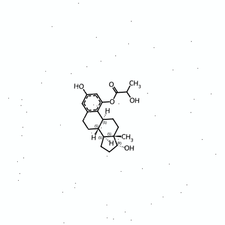 CC(O)C(=O)Oc1cc(O)cc2c1[C@H]1CC[C@]3(C)[C@H](O)CC[C@H]3[C@@H]1CC2